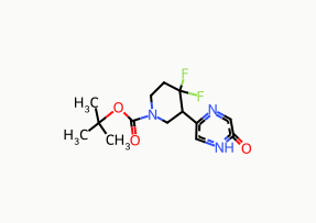 CC(C)(C)OC(=O)N1CCC(F)(F)C(c2c[nH]c(=O)cn2)C1